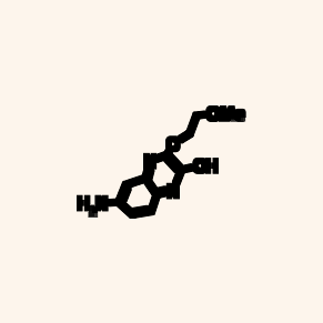 COCCOc1nc2cc(N)ccc2nc1O